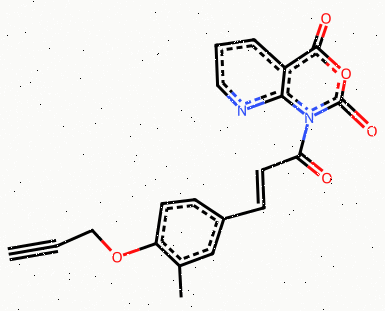 C#CCOc1ccc(/C=C/C(=O)n2c(=O)oc(=O)c3cccnc32)cc1C